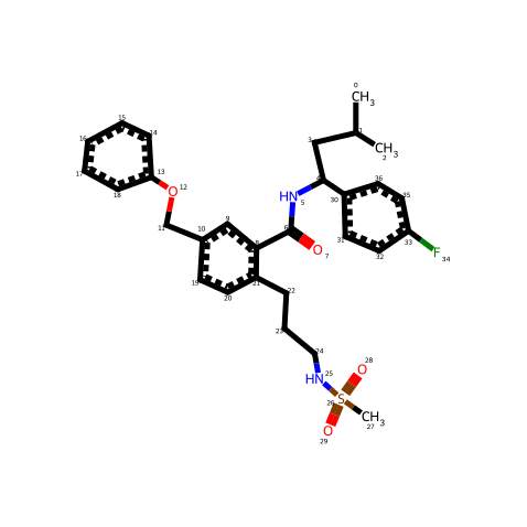 CC(C)CC(NC(=O)c1cc(COc2ccccc2)ccc1CCCNS(C)(=O)=O)c1ccc(F)cc1